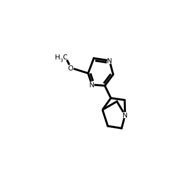 COc1cncc(C2CN3CCC2C3)n1